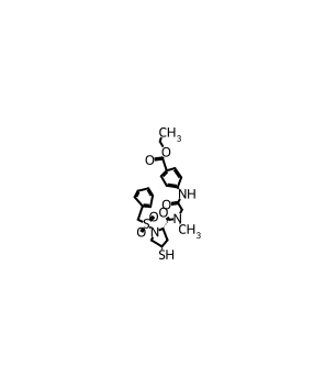 CCOC(=O)c1ccc(NC(=O)CN(C)C(=O)[C@@H]2C[C@H](S)CN2S(=O)(=O)Cc2ccccc2)cc1